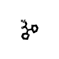 C=CC(=O)N(c1ccccn1)c1ccccn1